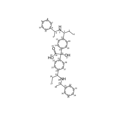 CCC(NC(C)c1ccccc1)c1ccc(C(O)(C(=O)O)c2ccc(C(CC)NC(C)c3ccccc3)cc2)cc1